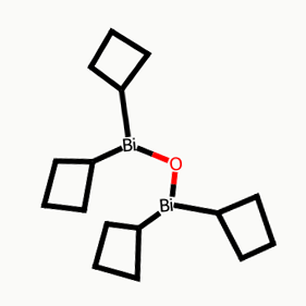 C1C[CH]([Bi]([O][Bi]([CH]2CCC2)[CH]2CCC2)[CH]2CCC2)C1